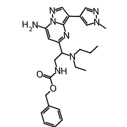 CCCN(CC)C(CNC(=O)OCc1ccccc1)c1cc(N)n2ncc(-c3cnn(C)c3)c2n1